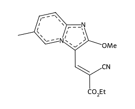 CCOC(=O)C(C#N)=Cc1c(OC)nc2ccc(C)cn12